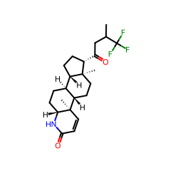 CC(CC(=O)[C@H]1CC[C@H]2[C@@H]3CC[C@H]4NC(=O)C=C[C@]4(C)[C@H]3CC[C@]12C)C(F)(F)F